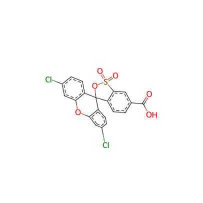 O=C(O)c1ccc2c(c1)S(=O)(=O)OC21c2ccc(Cl)cc2Oc2cc(Cl)ccc21